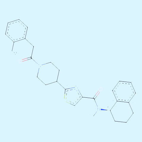 COc1ccccc1CC(=O)N1CCC(c2nc(C(=O)N(C)[C@@H]3CCCc4ccccc43)cs2)CC1